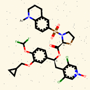 CC(=O)N1CCCc2cc(S(=O)(=O)N3CCS[C@H]3C(=O)O[C@@H](Cc3c(Cl)c[n+]([O-])cc3Cl)c3ccc(OC(F)F)c(OCC4CC4)c3)ccc21